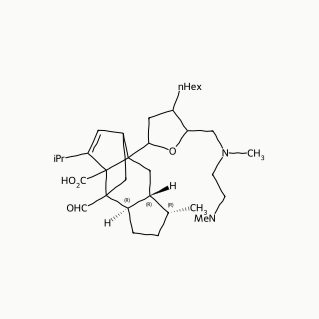 CCCCCCC1CC(C23C[C@@H]4[C@H](C)CC[C@H]4C4(C=O)CC2C=C(C(C)C)C34C(=O)O)OC1CN(C)CCNC